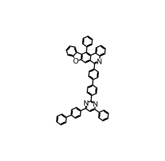 c1ccc(-c2ccc(-c3cc(-c4ccccc4)nc(-c4ccc(-c5ccc(-c6nc7ccccc7c7c(-c8ccccc8)c8c(cc67)oc6ccccc68)cc5)cc4)n3)cc2)cc1